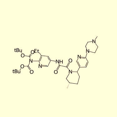 CCc1cc(NC(=O)C(=O)N2C[C@@H](C)CCC2c2ccc(N3CCN(C)CC3)nc2)cnc1N(C(=O)OC(C)(C)C)C(=O)OC(C)(C)C